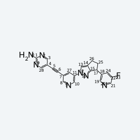 Nc1ncc(C#Cc2cncc(-n3cc4c(n3)C(c3cncc(F)c3)CC4)c2)cn1